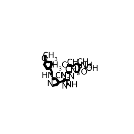 COc1ccc(CNc2nccc(-c3n[nH]c4nc(N5CCC(C)(NC(=O)O)CC5C(C)(C)C)cnc34)c2C)cc1